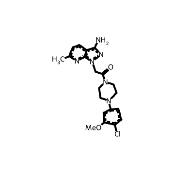 COc1cc(N2CCN(C(=O)Cn3nc(N)c4ccc(C)nc43)CC2)ccc1Cl